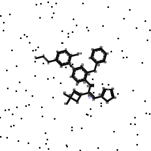 CCCc1ccc(F)c(-c2cnc(N/C(=C\C3=CC=CC3)C3=CC(C)(C)C3)c(Cc3ccccc3)n2)c1